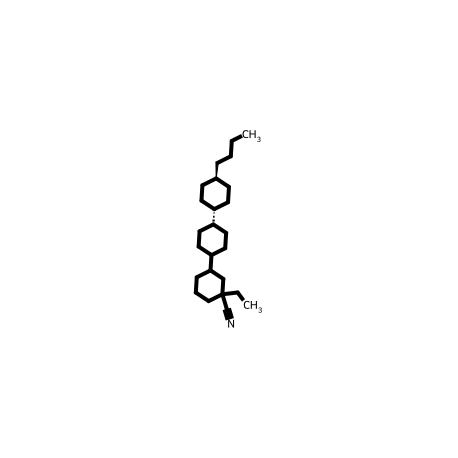 CCCC[C@H]1CC[C@H](C2CCC(C3CCCC(C#N)(CC)C3)CC2)CC1